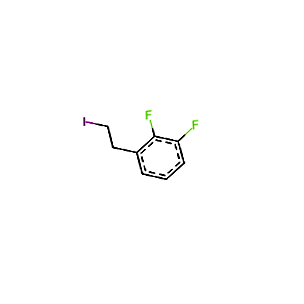 Fc1cccc(CCI)c1F